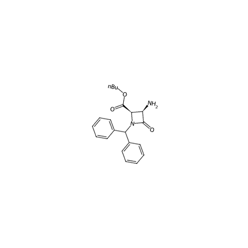 CCCCOC(=O)[C@H]1[C@@H](N)C(=O)N1C(c1ccccc1)c1ccccc1